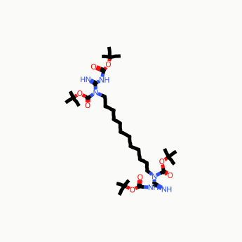 CC(C)(C)OC(=O)NC(=N)N(CCCCCCCCCCCCN(C(=N)NC(=O)OC(C)(C)C)C(=O)OC(C)(C)C)C(=O)OC(C)(C)C